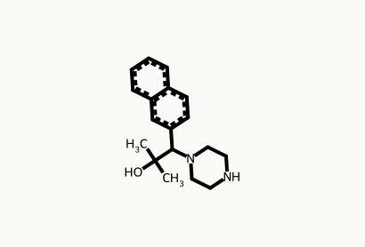 CC(C)(O)C(c1ccc2ccccc2c1)N1CCNCC1